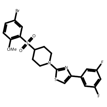 COc1ccc(Br)cc1S(=O)(=O)C1CCN(c2nc(-c3cc(F)cc(F)c3)cs2)CC1